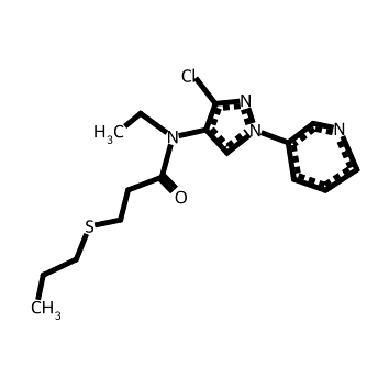 CCCSCCC(=O)N(CC)c1cn(-c2cccnc2)nc1Cl